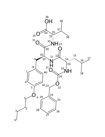 CCCCOc1ccc(C[C@H](NC(=O)[C@H](CC(C)C)NC(=O)OCc2ccccc2)C(=O)N[C@H](C(=O)O)C(C)C)cc1